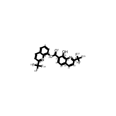 O=C(Oc1cccc2ccc(C(F)(F)F)nc12)c1ccc2ccc(C(F)(F)F)nc2c1O